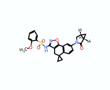 COc1ccccc1S(=O)(=O)Nc1noc2c1CC1(CC1)c1ccc(N3C[C@@H]4C[C@@H]4C3=O)cc1-2